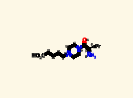 CCC[C@H](N)C(=O)N1CCN(CCCCC(=O)O)CC1